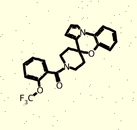 O=C(c1ccccc1OC(F)(F)F)N1CCC2(CC1)Oc1ccccc1-n1cccc12